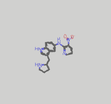 O=[N+]([O-])c1cccnc1Nc1ccc2[nH]cc(CC3CCCN3)c2c1